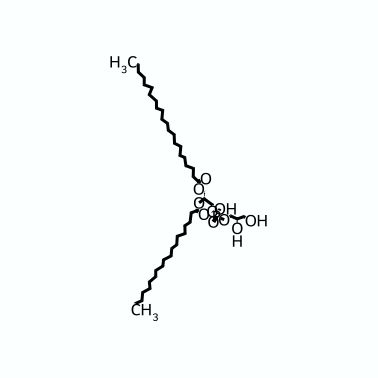 CCCCCCCCCCCCCCCCCCCCCC(=O)OC[C@H](COP(=O)(O)OC[C@@H](O)CO)OC(=O)CCCCCCCCCCCCCCCCCC